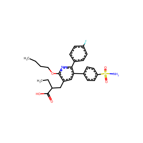 CCCCOc1nc(-c2ccc(F)cc2)c(-c2ccc(S(N)(=O)=O)cc2)cc1CC(CC)C(=O)O